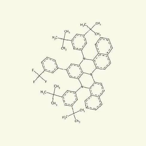 CC(C)(C)c1cc(N2c3cc(-c4cccc(C(F)(F)F)c4)cc4c3B(c3ccc5ccccc5c32)c2ccc3ccccc3c2N4c2cc(C(C)(C)C)cc(C(C)(C)C)c2)cc(C(C)(C)C)c1